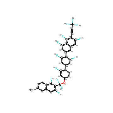 Cc1ccc2c(F)c(C(F)(F)Oc3ccc(-c4cc(F)c(-c5cc(F)c6c(F)c(C#CC(F)(F)F)c(F)cc6c5)c(F)c4)c(F)c3)c(F)cc2c1